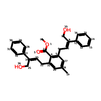 COC(=O)c1c(CC=C(CO)c2ccccc2)cc(C)cc1C/C=C(\CO)c1ccccc1